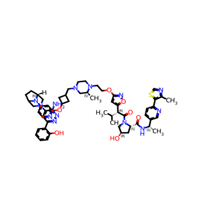 Cc1ncsc1-c1ccc([C@H](C)NC(=O)[C@@H]2C[C@@H](O)CN2C(=O)[C@@H](c2cc(OCCN3CCN(CC4CC(Oc5cc(N6C7CC[C@@H]6CN(c6cc(-c8ccccc8O)nnc6N)C7)ccn5)C4)C[C@@H]3C)no2)C(C)C)cn1